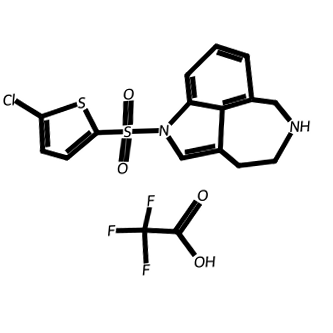 O=C(O)C(F)(F)F.O=S(=O)(c1ccc(Cl)s1)n1cc2c3c(cccc31)CNCC2